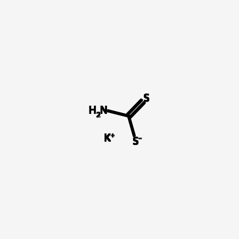 NC(=S)[S-].[K+]